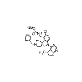 C[C@@H]1C[CH]c2ncnc(N3CC4(CCN(Cc5ccccc5)CC4)c4c3ccc(Cl)c4CNC(=O)OC(C)(C)C)c21